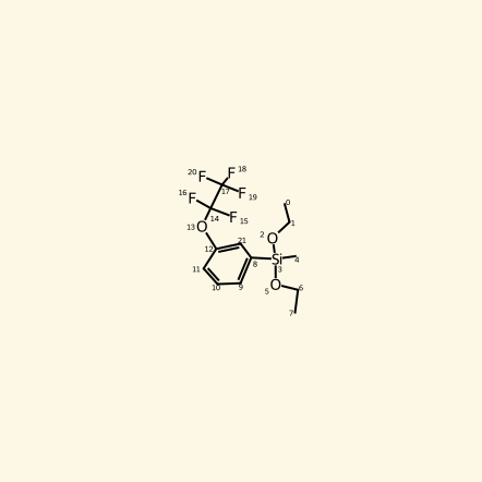 CCO[Si](C)(OCC)c1cccc(OC(F)(F)C(F)(F)F)c1